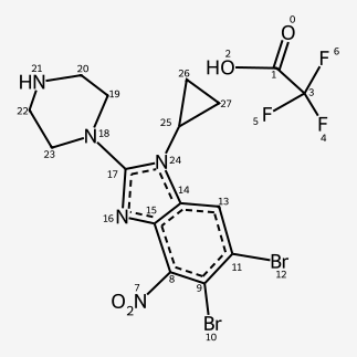 O=C(O)C(F)(F)F.O=[N+]([O-])c1c(Br)c(Br)cc2c1nc(N1CCNCC1)n2C1CC1